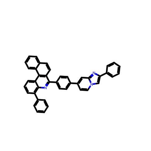 c1ccc(-c2cn3ccc(-c4ccc(-c5nc6c(-c7ccccc7)cccc6c6c5ccc5ccccc56)cc4)cc3n2)cc1